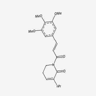 CCCC1=CCCN(C(=O)/C=C/c2cc(OC)c(OC)c(OC)c2)C1=O